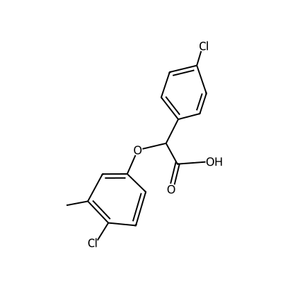 Cc1cc(OC(C(=O)O)c2ccc(Cl)cc2)ccc1Cl